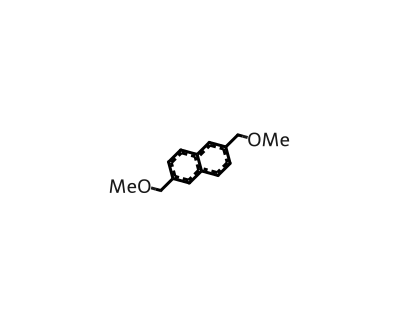 COCc1ccc2cc(COC)ccc2c1